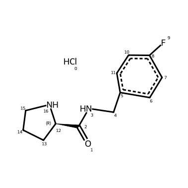 Cl.O=C(NCc1ccc(F)cc1)[C@H]1CCCN1